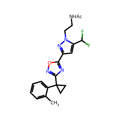 CC(=O)NCCn1nc(-c2nc(C3(c4ccccc4C)CC3)no2)cc1C(F)F